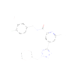 COc1cc(CNC(=O)c2cc(-c3nnn(CC4COCCO4)n3)cc(C)n2)ccc1F